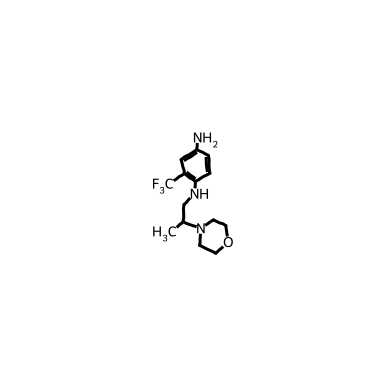 CC(CNc1ccc(N)cc1C(F)(F)F)N1CCOCC1